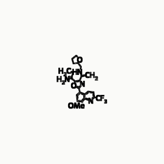 C=C[C@H](N)c1oc(-c2ccc(OC)c3nc(C(F)(F)F)ccc23)nc1C(=C)NCC1CCCO1